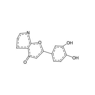 O=c1cc(-c2ccc(O)c(O)c2)oc2ncccc12